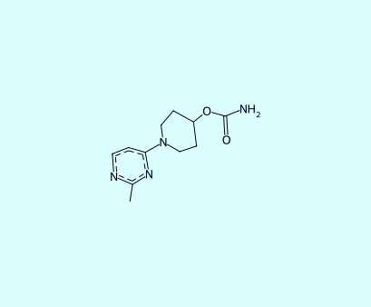 Cc1nccc(N2CCC(OC(N)=O)CC2)n1